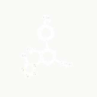 CCc1nnnn1-c1cc(C(=O)O)cc(-c2ccc(C)cc2)c1C